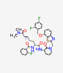 CN(C)C(=O)/C=C/CCC(NC(=O)c1ccccc1F)C(=O)Nc1cccn(Cc2nc3cccc(OCc4ccc(F)cc4F)c3s2)c1=O